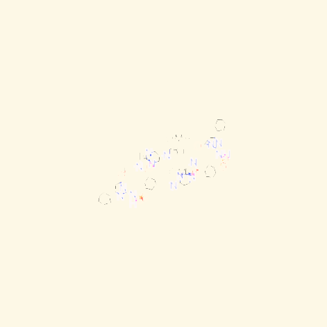 COC(C)[C@@H]1C(c2cc3cc(c2)S(=O)(=O)Nc2nc(cc(-c4c(C)cccc4C)n2)OC[C@@H](CC(C)(C)C)N(Cc2ncc(N4CCC[C@H]4C(C)OC)cn2)C3=O)CCN1c1ccnc(CN2C(=O)c3cccc(c3)S(=O)(=O)Nc3nc(cc(-c4c(C)cccc4C)n3)OC[C@H]2CC(C)(C)C)n1